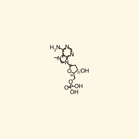 C[n+]1cn([C@H]2C[C@H](O)[C@@H](COP(=O)(O)O)O2)c2ncnc(N)c21